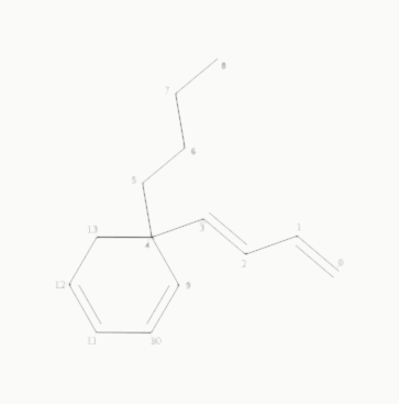 C=CC=CC1(CCCC)C=CC=CC1